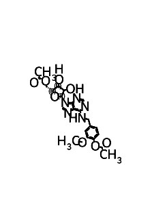 COc1cc(CNc2ncnc3c2ncn3[C@@H]2O[C@H](COC(C)=O)[C@H](O)C2O)ccc1OC(C)=O